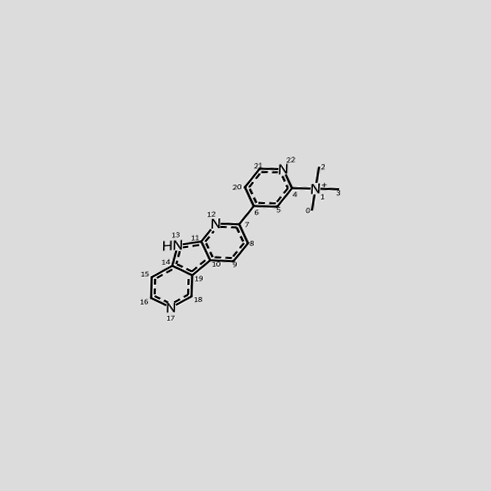 C[N+](C)(C)c1cc(-c2ccc3c(n2)[nH]c2ccncc23)ccn1